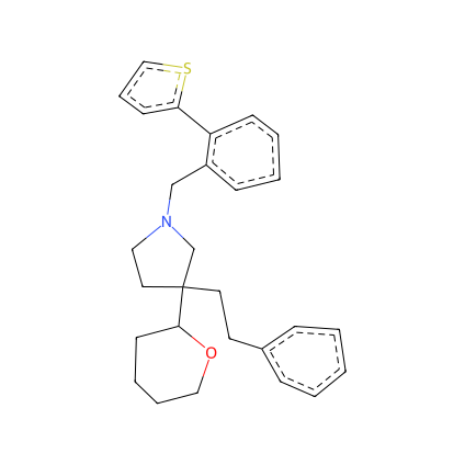 c1ccc(CCC2(C3CCCCO3)CCN(Cc3ccccc3-c3cccs3)C2)cc1